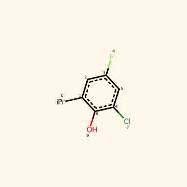 CC(C)c1cc(F)cc(Cl)c1O